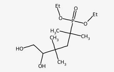 CCOP(=O)(OCC)C(C)(C)CC(C)(C)C(O)CO